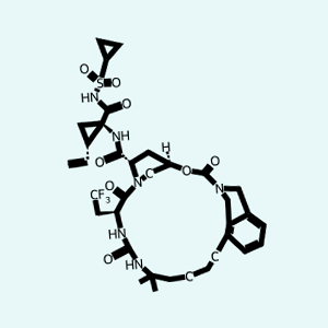 C=C[C@@H]1C[C@]1(NC(=O)[C@@H]1C[C@@H]2CN1C(=O)[C@H](CC(F)(F)F)NC(=O)NC(C)(C)CCCCc1cccc3c1CN(C3)C(=O)O2)C(=O)NS(=O)(=O)C1CC1